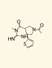 CC(=O)N1CC2C(=O)N(C)C(=N)NC2(c2cccs2)C1